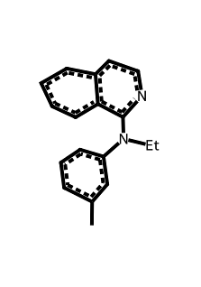 CCN(c1cccc(C)c1)c1nccc2ccccc12